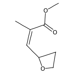 COC(=O)C(C)=CC1CCO1